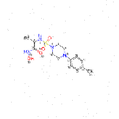 CC(C)C(NS(=O)(=O)N1CCN(c2ccc(C#N)cc2)CC1)C(=O)NO